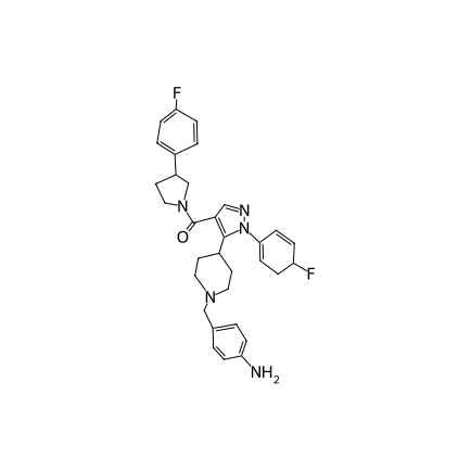 Nc1ccc(CN2CCC(c3c(C(=O)N4CCC(c5ccc(F)cc5)C4)cnn3C3=CCC(F)C=C3)CC2)cc1